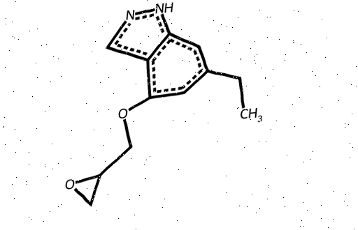 CCc1cc(OCC2CO2)c2cn[nH]c2c1